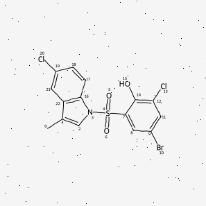 Cc1cn(S(=O)(=O)c2cc(Br)cc(Cl)c2O)c2ccc(Cl)cc12